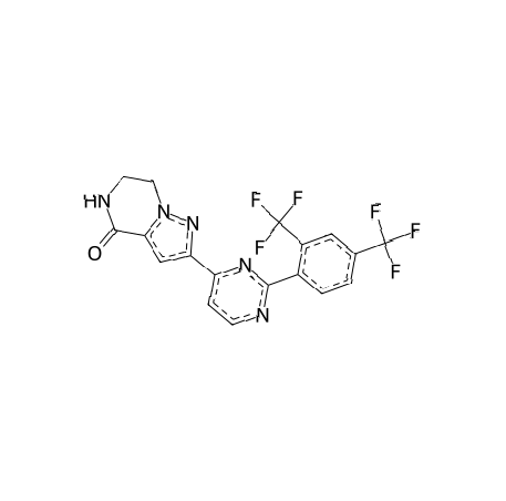 O=C1NCCn2nc(-c3ccnc(-c4ccc(C(F)(F)F)cc4C(F)(F)F)n3)cc21